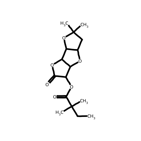 CCC(C)(C)C(=O)OC1C(=O)OC2C3OC(C)(C)CC3OC12